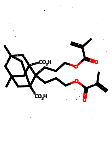 C=C(C)C(=O)OCCCC1(CCCOC(=O)C(=C)C)C2(C(=O)O)CC3(C)CC(C)(C2)CC1(C(=O)O)C3